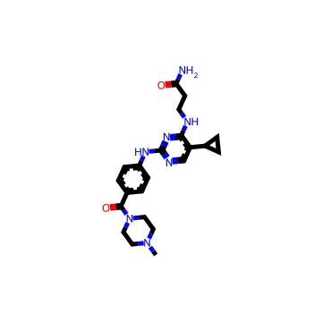 CN1CCN(C(=O)c2ccc(Nc3ncc(C4CC4)c(NCCC(N)=O)n3)cc2)CC1